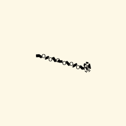 C=CCOCCOCCOCCOCCOCCOCCN1[Si](C)(C)CC[Si]1(C)C